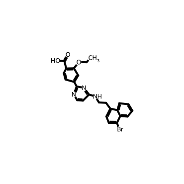 CCOc1cc(-c2nccc(NCCc3ccc(Br)c4ccccc34)n2)ccc1C(=O)O